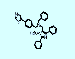 CCCCn1c(-c2ccccc2)nc(-c2ccccc2)c1CN(Cc1ccccc1)Cc1ccc(-c2cncs2)cc1